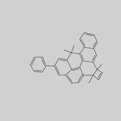 CC1(C)c2c3c(cc4ccccc24)C2(C)C=CC2(C)[n+]2ccc4cc(-c5ccccc5)cc1c4c2-3